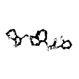 O=C(Nc1ccccc1F)Nc1cccc2c1ccn2Cc1c[nH]c2ncccc12